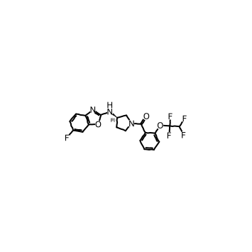 O=C(c1ccccc1OC(F)(F)C(F)F)N1CC[C@@H](Nc2nc3ccc(F)cc3o2)C1